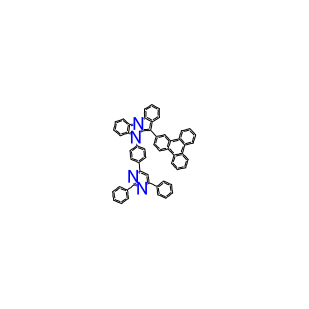 c1ccc(-c2cc(-c3ccc(-n4c5ccccc5n5c6ccccc6c(-c6ccc7c8ccccc8c8ccccc8c7c6)c45)cc3)nc(-c3ccccc3)n2)cc1